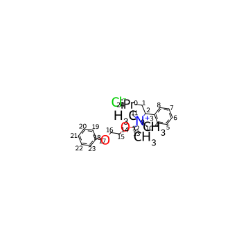 CC(C)CC(c1ccccc1)[N+](C)(C)C(C)OCCOc1ccccc1.[Cl-]